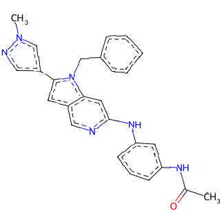 CC(=O)Nc1cccc(Nc2cc3c(cn2)cc(-c2cnn(C)c2)n3Cc2ccccc2)c1